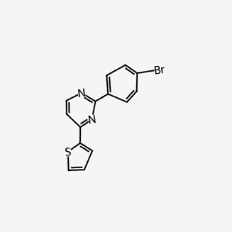 Brc1ccc(-c2nccc(-c3cccs3)n2)cc1